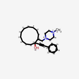 CN1CCN(CC2CCCCCCCCCCC2(O)C#Cc2ccccc2)CC1